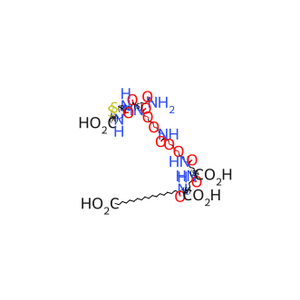 NC(=O)CC[C@H](NC(=O)COCCOCCNC(=O)COCCOCCNC(=O)CC[C@H](NC(=O)CC[C@H](NC(=O)CCCCCCCCCCCCCCCCC(=O)O)C(=O)O)C(=O)O)C(=O)CN[C@H]1CSSC[C@@H](C(=O)O)NCC1=O